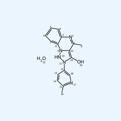 CC1=Nc2ccccc2N2NN(c3ccc(C)nc3)C(O)=C12.O